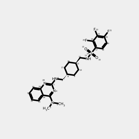 CN(C)c1nc(NC[C@H]2CC[C@H](CNS(=O)(=O)c3ccc(F)c(F)c3F)CC2)nc2ccccc12